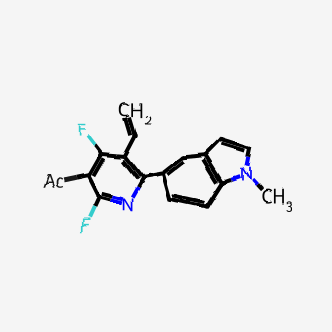 C=Cc1c(-c2ccc3c(ccn3C)c2)nc(F)c(C(C)=O)c1F